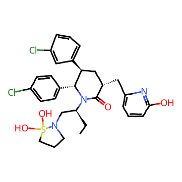 CC[C@@H](CN1CCCS1(O)O)N1C(=O)[C@@H](Cc2cccc(O)n2)C[C@H](c2cccc(Cl)c2)[C@H]1c1ccc(Cl)cc1